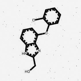 OCc1nc2c(Oc3ccccc3Cl)cccc2[nH]1